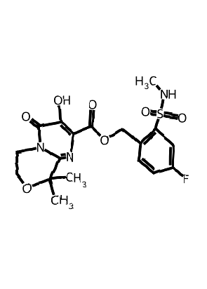 CNS(=O)(=O)c1cc(F)ccc1COC(=O)c1nc2n(c(=O)c1O)CCOC2(C)C